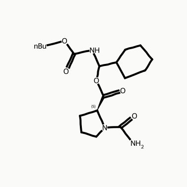 CCCCOC(=O)NC(OC(=O)[C@@H]1CCCN1C(N)=O)C1CCCCC1